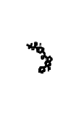 C[C@@H]1CN(CC(=O)N2CCc3cc(F)c(-c4ccccc4)cc32)CCN1C(=O)OC(C)(C)C